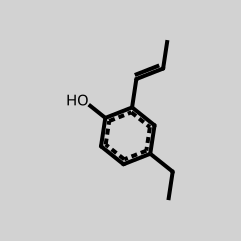 CC=Cc1cc(CC)ccc1O